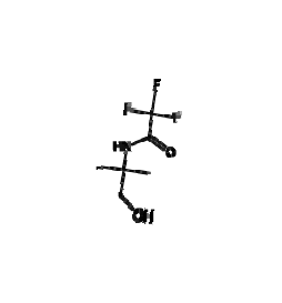 CC(C)(CO)NC(=O)C(F)(F)F